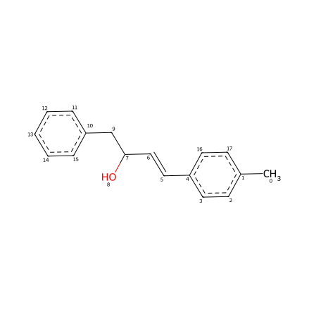 Cc1ccc(C=CC(O)Cc2ccccc2)cc1